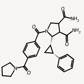 NC(=O)C1CN(C(=O)c2ccc(C(=O)N3CCCC3)cc2)C([C@H]2C[C@H]2c2ccccc2)C1C(N)=O